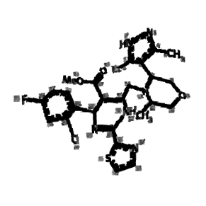 CCc1[nH]nc(C)c1C1COCC(C)N1CC1=C(C(=O)OC)[C@H](c2ccc(F)cc2Cl)N=C(c2nccs2)N1